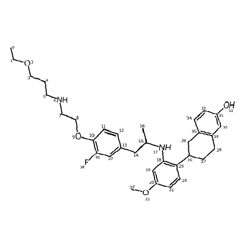 CCOCCCNCCOc1ccc(CC(C)Nc2cc(OC)ccc2C2CCc3cc(O)ccc3C2)cc1F